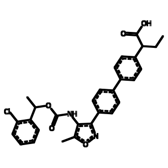 CCC(C(=O)O)c1ccc(-c2ccc(-c3noc(C)c3NC(=O)OC(C)c3ccccc3Cl)cc2)cc1